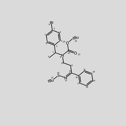 CC(c1ccc(Br)cc1)N(CCC(=NSC(C)(C)C)c1ccccc1)C(=O)OC(C)(C)C